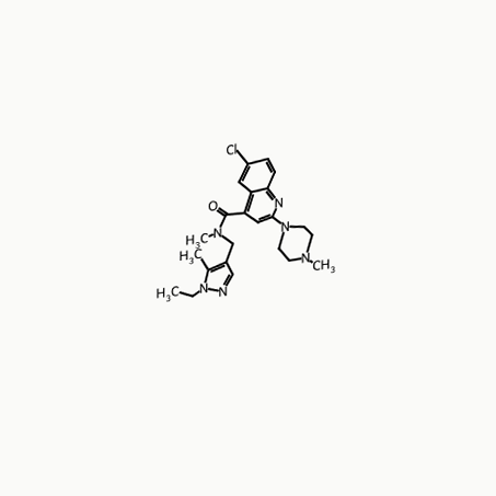 CCn1ncc(CN(C)C(=O)c2cc(N3CCN(C)CC3)nc3ccc(Cl)cc23)c1C